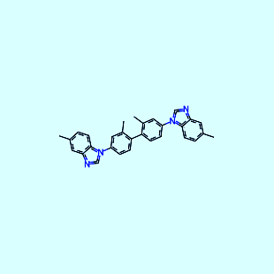 Cc1ccc2c(c1)ncn2-c1ccc(-c2ccc(-n3cnc4cc(C)ccc43)cc2C)c(C)c1